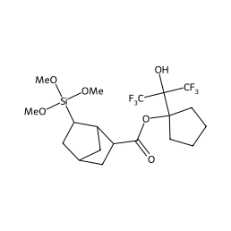 CO[Si](OC)(OC)C1CC2CC(C(=O)OC3(C(O)(C(F)(F)F)C(F)(F)F)CCCC3)C1C2